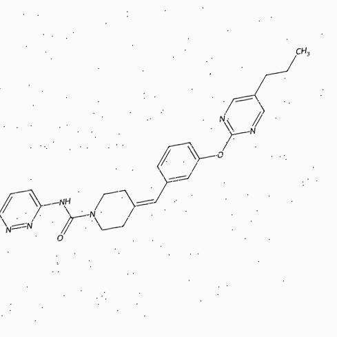 CCCc1cnc(Oc2cccc(C=C3CCN(C(=O)Nc4cccnn4)CC3)c2)nc1